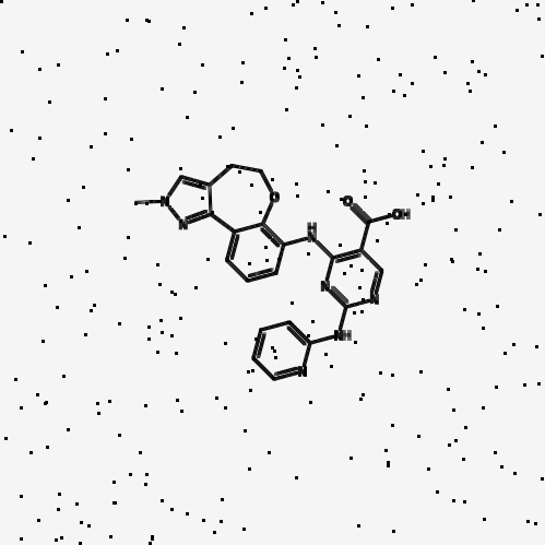 Cn1cc2c(n1)-c1cccc(Nc3nc(Nc4ccccn4)ncc3C(=O)O)c1OCC2